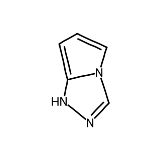 c1cc2[nH]ncn2c1